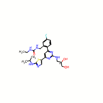 CCNC(=O)NCc1cc(F)ccc1-c1cc(-c2cnc(NC(C)C)s2)nc(NC[C@@H](O)CO)n1